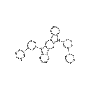 c1ccc(-c2cccc(-n3c4ccccc4c4cc5c(cc43)c3ccccc3n5-c3cccc(-c4cccnc4)c3)c2)cc1